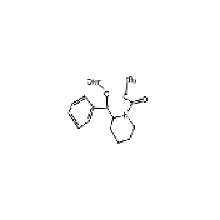 CC(C)(C)OC(=O)N1CCCCC1C(OC=O)c1ccccc1